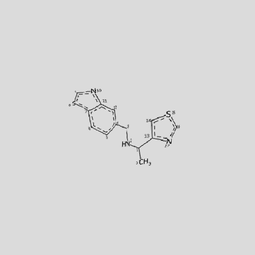 CC(NCc1ccc2scnc2c1)c1cscn1